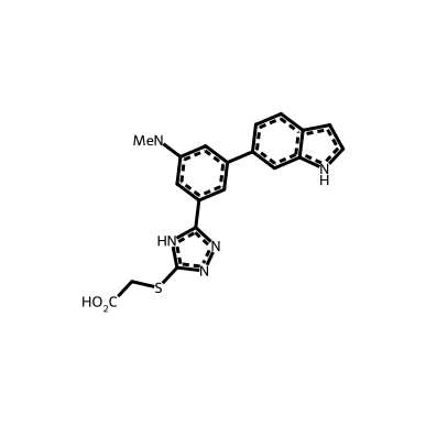 CNc1cc(-c2ccc3cc[nH]c3c2)cc(-c2nnc(SCC(=O)O)[nH]2)c1